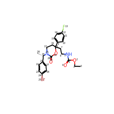 CCOC(=O)NCCC1(c2ccc(F)cc2)CCN([C@@H](C)c2ccc(Br)cc2)C(=O)O1